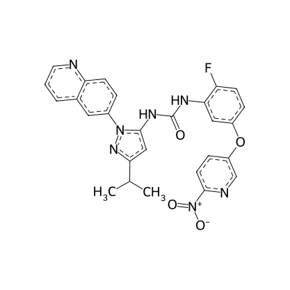 CC(C)c1cc(NC(=O)Nc2cc(Oc3ccc([N+](=O)[O-])nc3)ccc2F)n(-c2ccc3ncccc3c2)n1